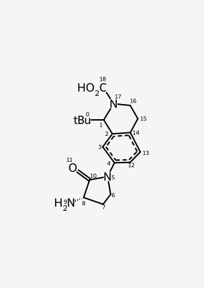 CC(C)(C)C1c2cc(N3CC[C@H](N)C3=O)ccc2CCN1C(=O)O